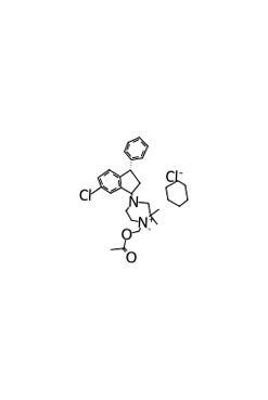 C1CCCCC1.CC(=O)OC[N@@+]1(C)CCN([C@@H]2C[C@@H](c3ccccc3)c3ccc(Cl)cc32)CC1(C)C.[Cl-]